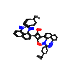 CC1CCC2(CC1)Nc1cccc3ccc(C4C(O)C(c5ccc6cccc7c6c5NC5(CCC(C)CC5)N7)C4O)c(c13)N2